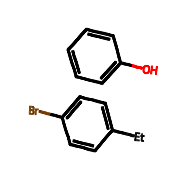 CCc1ccc(Br)cc1.Oc1ccccc1